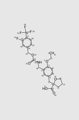 CCOc1ccc(CC2(C(=O)O)CCCO2)cc1CNC(=O)OCc1ccc(C(F)(F)F)c(F)c1